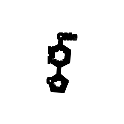 COc1ccc(-c2ccco2)nn1